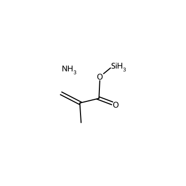 C=C(C)C(=O)O[SiH3].N